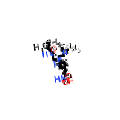 CCN(CC)CCn1c(CCNC(=O)CC(C)(C)C)nc2cc(C=CC(=O)NO)ccc21